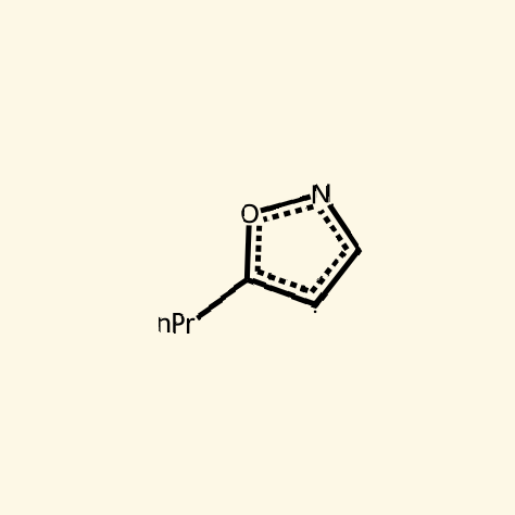 CCCc1[c]cno1